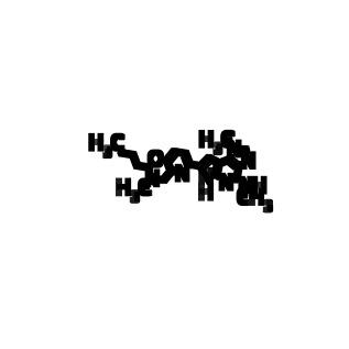 CCCCC(=O)N(C)Cc1cccc(-c2cc3c(nc(NC)c4ncn(C)c43)[nH]2)n1